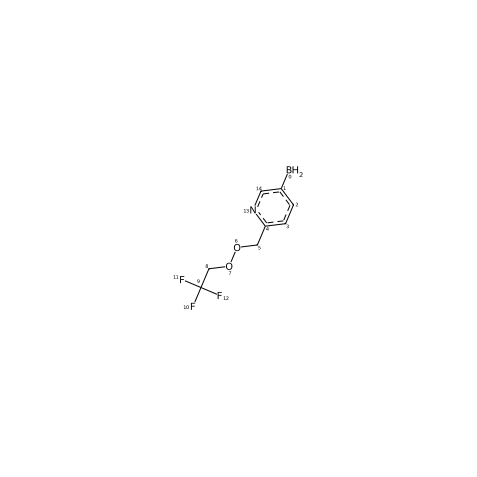 Bc1ccc(COOCC(F)(F)F)nc1